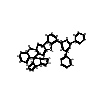 c1ccc(-c2cc(-c3ccccc3)nc(-c3cccc4c3oc3cc5c(cc34)Oc3ccccc3C53c4ccccc4-c4ccccc43)c2)cc1